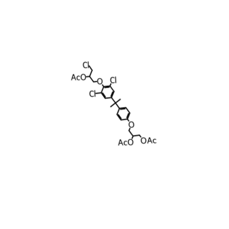 CC(=O)OCC(COc1ccc(C(C)(C)c2cc(Cl)c(OCC(CCl)OC(C)=O)c(Cl)c2)cc1)OC(C)=O